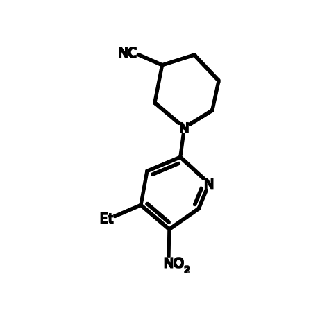 CCc1cc(N2CCCC(C#N)C2)ncc1[N+](=O)[O-]